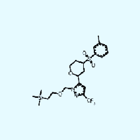 Cc1cccc(S(=O)(=O)C2CCOC(c3cc(C(F)(F)F)nn3COCC[Si](C)(C)C)C2)c1